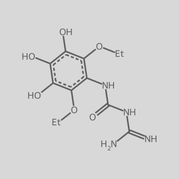 CCOc1c(O)c(O)c(O)c(OCC)c1NC(=O)NC(=N)N